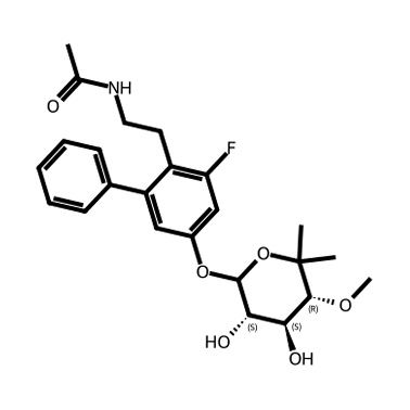 CO[C@@H]1[C@@H](O)[C@H](O)C(Oc2cc(F)c(CCNC(C)=O)c(-c3ccccc3)c2)OC1(C)C